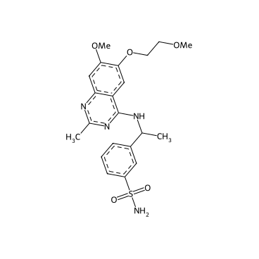 COCCOc1cc2c(NC(C)c3cccc(S(N)(=O)=O)c3)nc(C)nc2cc1OC